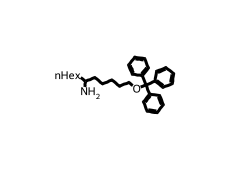 CCCCCCC(N)CCCCCOC(c1ccccc1)(c1ccccc1)c1ccccc1